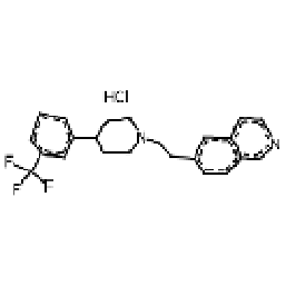 Cl.FC(F)(F)c1cccc(C2CCN(CCc3ccc4cnccc4c3)CC2)c1